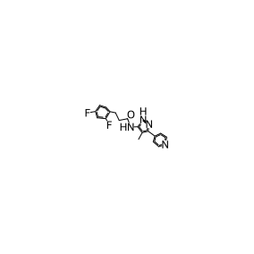 Cc1c(-c2ccncc2)n[nH]c1NC(=O)CCc1ccc(F)cc1F